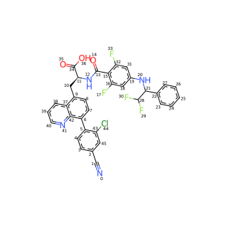 N#Cc1ccc(-c2ccc(C[C@H](NC(=O)c3c(F)cc(NC(c4ccccc4)C(F)F)cc3F)C(=O)O)c3cccnc23)c(Cl)c1